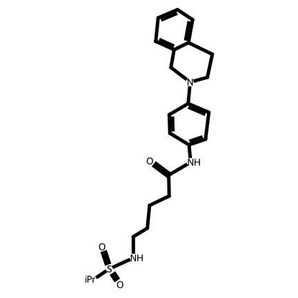 CC(C)S(=O)(=O)NCCCCC(=O)Nc1ccc(N2CCc3ccccc3C2)cc1